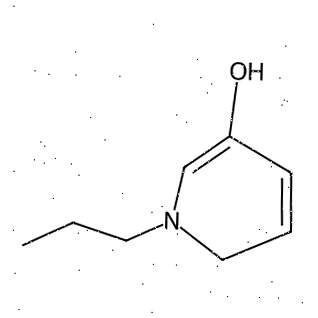 CCCN1C=C(O)C=CC1